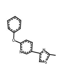 Cc1nc(-c2ccc(Oc3ccccc3)nc2)cs1